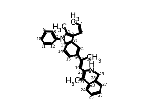 C/C=C\c1c(C)n(-c2ccccc2)c2ccc(/C(C)=C/C3=C(C)c4ccccc4CN3)cc12